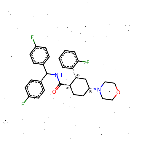 O=C(NC(c1ccc(F)cc1)c1ccc(F)cc1)[C@@H]1CC[C@@H](N2CCOCC2)C[C@H]1c1ccccc1F